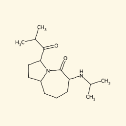 CC(C)NC1CCCC2CCC(C(=O)C(C)C)N2C1=O